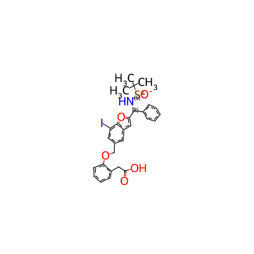 CC(C)(C)[S@@+]([O-])N[C@H](c1ccccc1)c1cc2cc(COc3ccccc3CC(=O)O)cc(I)c2o1